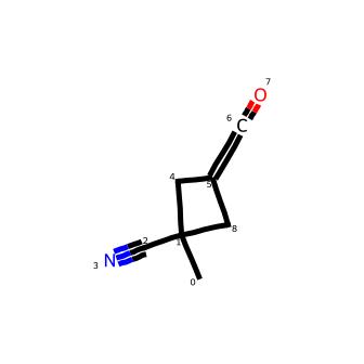 CC1(C#N)CC(=C=O)C1